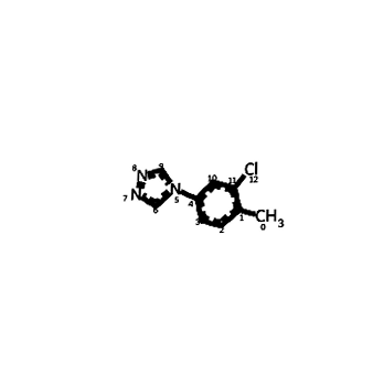 Cc1ccc(-n2cnnc2)cc1Cl